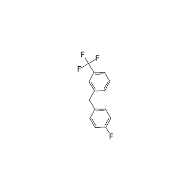 Fc1ccc(Cc2cccc(C(F)(F)F)c2)cc1